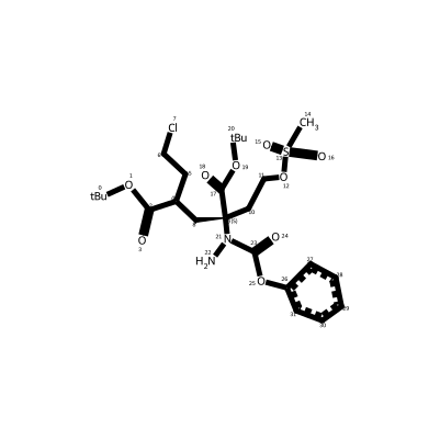 CC(C)(C)OC(=O)C(CCCl)C[C@](CCOS(C)(=O)=O)(C(=O)OC(C)(C)C)N(N)C(=O)Oc1ccccc1